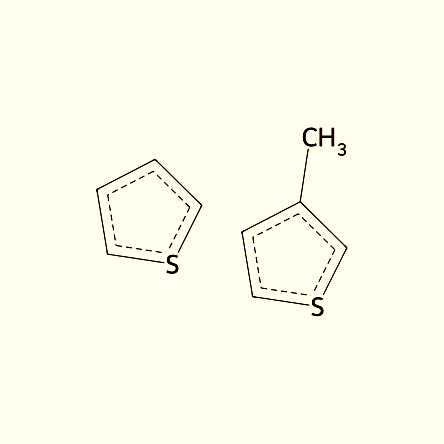 Cc1ccsc1.c1ccsc1